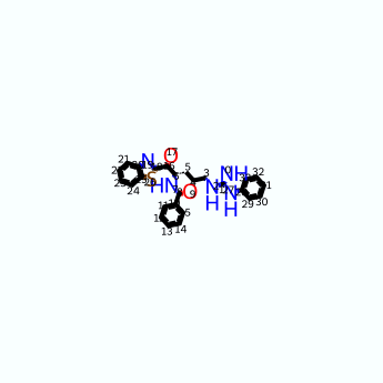 N=C(NCCC[C@H](NC(=O)c1ccccc1)C(=O)c1nc2ccccc2s1)Nc1ccccc1